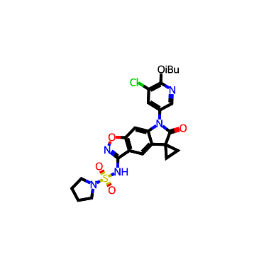 CC(C)COc1ncc(N2C(=O)C3(CC3)c3cc4c(NS(=O)(=O)N5CCCC5)noc4cc32)cc1Cl